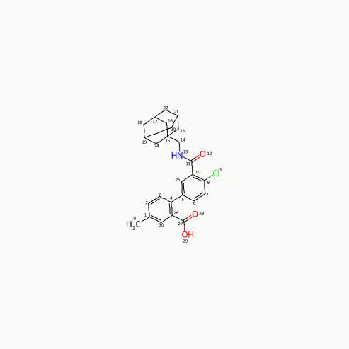 Cc1ccc(-c2ccc(Cl)c(C(=O)NCC34CC5CC(CC(C5)C3)C4)c2)c(C(=O)O)c1